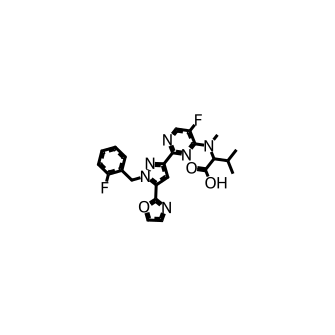 CC(C)C(C(=O)O)N(C)c1nc(-c2cc(-c3ncco3)n(Cc3ccccc3F)n2)ncc1F